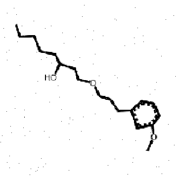 CCCCCC(O)CCOCCCc1cccc(OC)c1